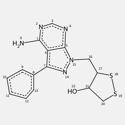 Nc1ncnc2c1c(-c1ccccc1)nn2CC1SSCC1O